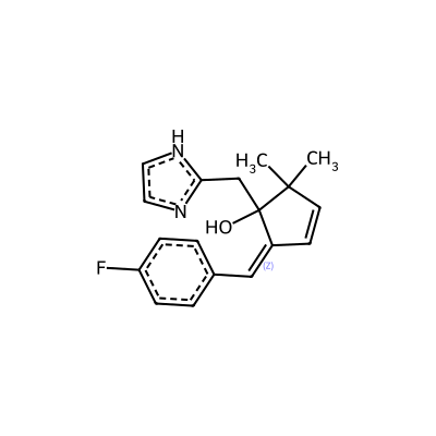 CC1(C)C=C/C(=C/c2ccc(F)cc2)C1(O)Cc1ncc[nH]1